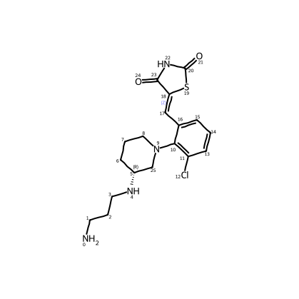 NCCCN[C@@H]1CCCN(c2c(Cl)cccc2/C=C2\SC(=O)NC2=O)C1